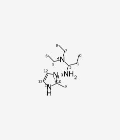 CCC(N)N(CC)CC.Cc1ncc[nH]1